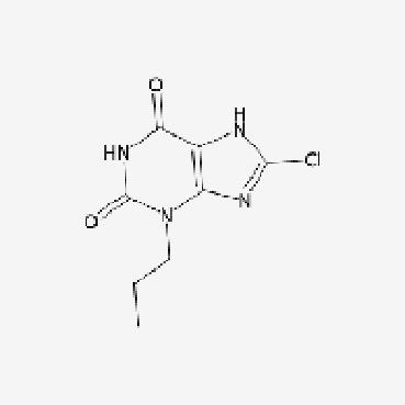 CCCn1c(=O)[nH]c(=O)c2[nH]c(Cl)nc21